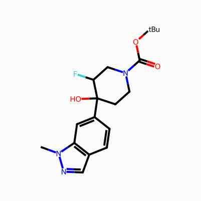 Cn1ncc2ccc(C3(O)CCN(C(=O)OC(C)(C)C)CC3F)cc21